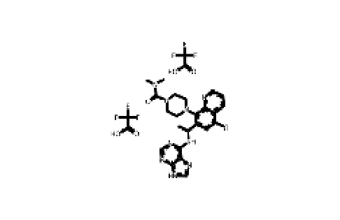 CC(Nc1ncnc2[nH]cnc12)c1cc(Cl)c2cccnc2c1N1CCN(C(=O)N(C)C)CC1.O=C(O)C(F)(F)F.O=C(O)C(F)(F)F